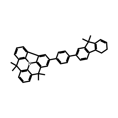 CC1(C)C2=C(CCC=C2)c2ccc(-c3ccc(-c4cc5c6c(c4)c4cccc7c4n6-c4c(cccc4C5(C)C)C7(C)C)cc3)cc21